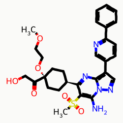 COCCO[C@]1(C(=O)CO)CC[C@@H](c2nc3c(-c4ccc(-c5ccccc5)nc4)cnn3c(N)c2S(C)(=O)=O)CC1